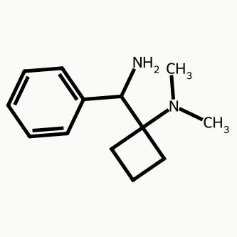 CN(C)C1(C(N)c2ccccc2)CCC1